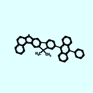 CC1(C)c2cc(-c3c4ccccc4c(-c4ccccc4)c4ccccc34)ccc2-c2cc3sc4ccc5ccccc5c4c3cc21